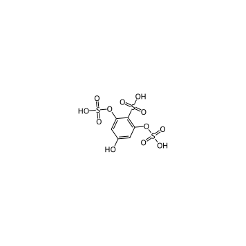 O=S(=O)(O)Oc1cc(O)cc(OS(=O)(=O)O)c1S(=O)(=O)O